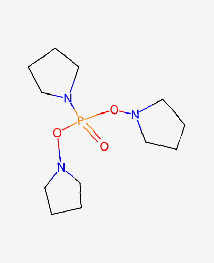 O=P(ON1CCCC1)(ON1CCCC1)N1CCCC1